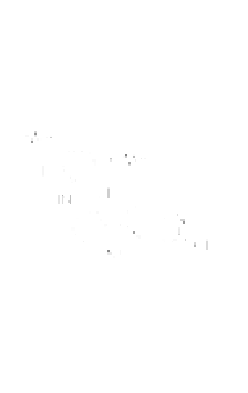 COc1cc(OC)c(Cl)c(Nc2ccc3ncn(-c4cnn(C)c4)c(=O)c3c2)c1Cl